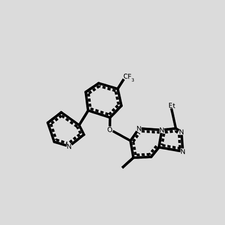 CCc1nnc2cc(C)c(Oc3cc(C(F)(F)F)ccc3-c3cccnc3)nn12